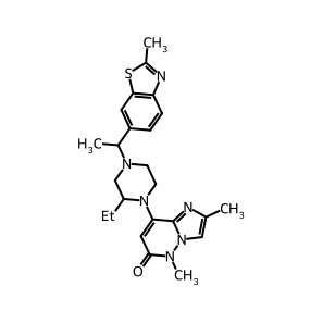 CCC1CN(C(C)c2ccc3nc(C)sc3c2)CCN1c1cc(=O)n(C)n2cc(C)nc12